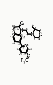 CC1COCCN1CCN1C(=O)CSc2ccc(-c3ccc(OC(F)(F)F)cn3)cc21